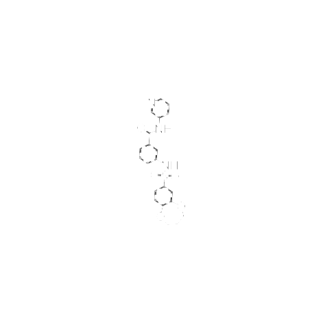 O=C(Nc1cccnc1)c1cccc(NS(=O)(=O)c2ccc3c(c2)OCCCO3)c1